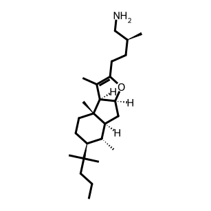 CCCC(C)(C)[C@H]1CC[C@@]2(C)[C@@H](C[C@@H]3OC(CC[C@H](C)CN)=C(C)[C@@H]32)[C@@H]1C